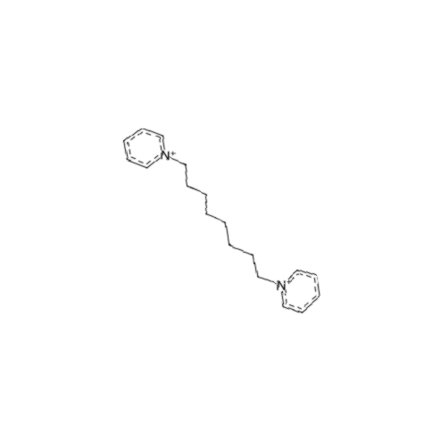 c1cc[n+](CCCCCCCC[n+]2ccccc2)cc1